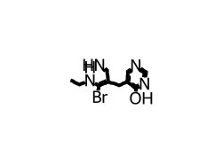 CCN/C(Br)=C(\C=N)Cc1cncnc1O